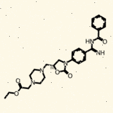 CCOC(=O)CN1CCN(C[C@H]2CN(c3ccc(C(=N)NC(=O)c4ccccc4)cc3)C(=O)O2)CC1